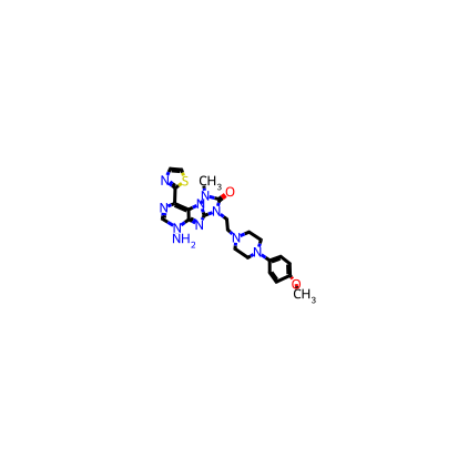 COc1ccc(N2CCN(CCN3C(=O)N(C)N4C5=C(c6nccs6)N=CN(N)C5=NC34)CC2)cc1